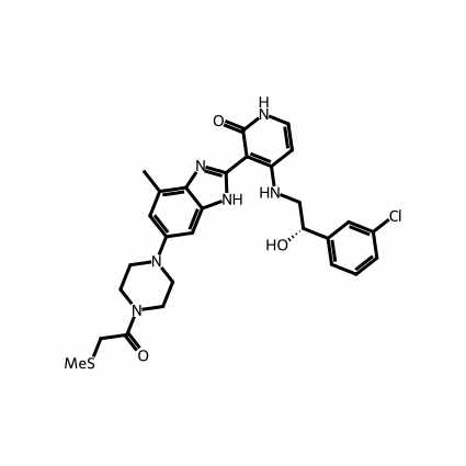 CSCC(=O)N1CCN(c2cc(C)c3nc(-c4c(NC[C@@H](O)c5cccc(Cl)c5)cc[nH]c4=O)[nH]c3c2)CC1